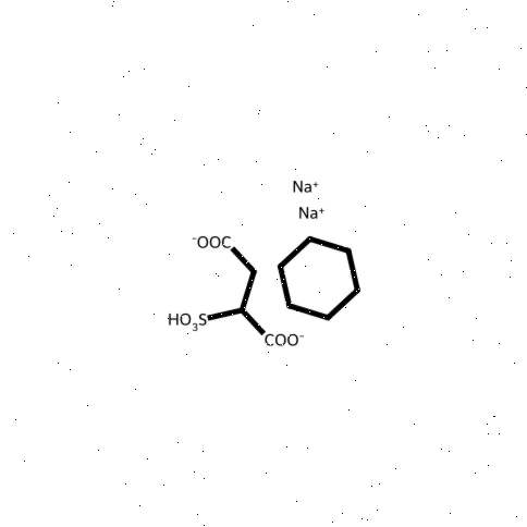 C1CCCCC1.O=C([O-])CC(C(=O)[O-])S(=O)(=O)O.[Na+].[Na+]